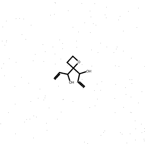 C=CC(O)C1(C(O)C=C)CCO1